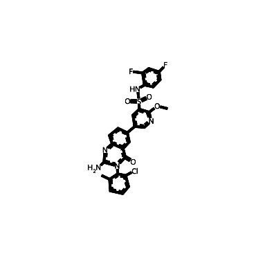 COc1ncc(-c2ccc3nc(N)n(-c4c(C)cccc4Cl)c(=O)c3c2)cc1S(=O)(=O)Nc1ccc(F)cc1F